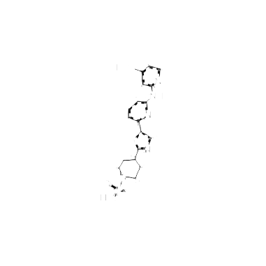 Cc1ccnc(Nc2cccc(-c3cnc(C4CCN(S(C)(=O)=O)CC4)s3)n2)c1